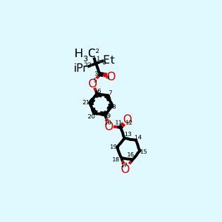 CCC(C)(C(=O)Oc1ccc(OC(=O)C2CCC3OC3C2)cc1)C(C)C